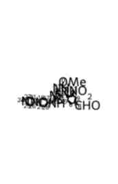 COCCN(c1ccc(C=O)cc1[N+](=O)[O-])c1sc(Nc2ccc(N3CCN(C)CC3)cc2)nc1N